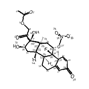 CC(=O)OCC(=O)[C@@]1(O)[C@H](O)C[C@H]2[C@@H]3CCC4=CC(=O)C=C[C@]4(C)[C@@]3(F)[C@@H](O[N+](=O)[O-])C[C@@]21C